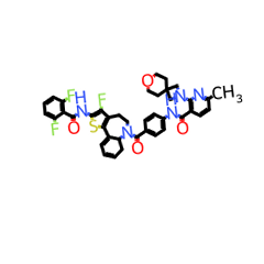 Cc1ccc(C(=O)Nc2ccc(C(=O)N3CCc4c(sc(NC(=O)c5c(F)cccc5F)c4F)C4=CC=CCC43)cc2)c(N2CC3(CCOCC3)C2)n1